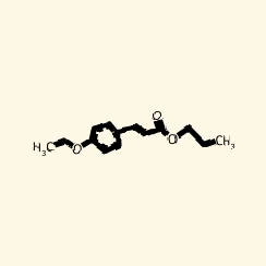 CCCOC(=O)/C=C/c1ccc(OCC)cc1